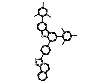 Cc1cc(C)c(-c2ccc3oc4c(-c5ccc(-c6nnc7c8ccccc8ccn67)cc5)cc(-c5c(C)cc(C)cc5C)cc4c3c2)c(C)c1